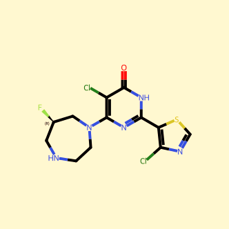 O=c1[nH]c(-c2scnc2Cl)nc(N2CCNC[C@@H](F)C2)c1Cl